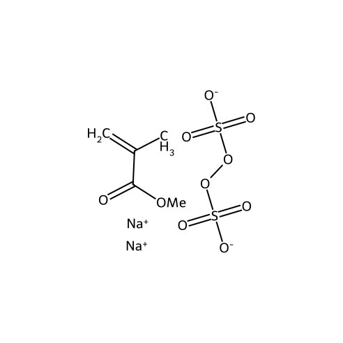 C=C(C)C(=O)OC.O=S(=O)([O-])OOS(=O)(=O)[O-].[Na+].[Na+]